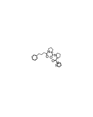 O=C(CCCc1ccccc1)N1CCC[C@H]1C(=O)N1CCC[C@H]1C(=O)n1cccn1